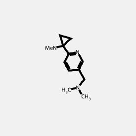 CNC1(c2ccc(CN(C)C)cn2)CC1